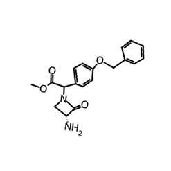 COC(=O)C(c1ccc(OCc2ccccc2)cc1)N1C[C@@H](N)C1=O